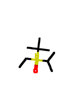 CC[SH](=O)(C(C)C)C(C)(C)C